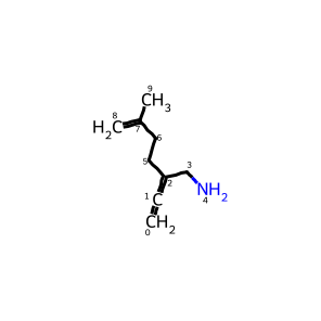 C=C=C(CN)CCC(=C)C